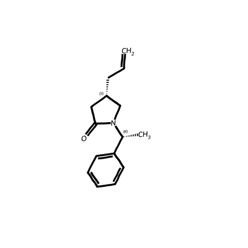 C=CC[C@H]1CC(=O)N([C@H](C)c2ccccc2)C1